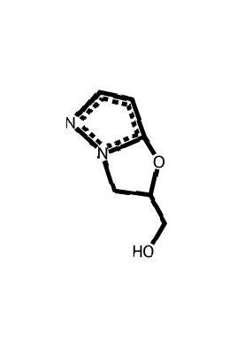 OCC1Cn2nccc2O1